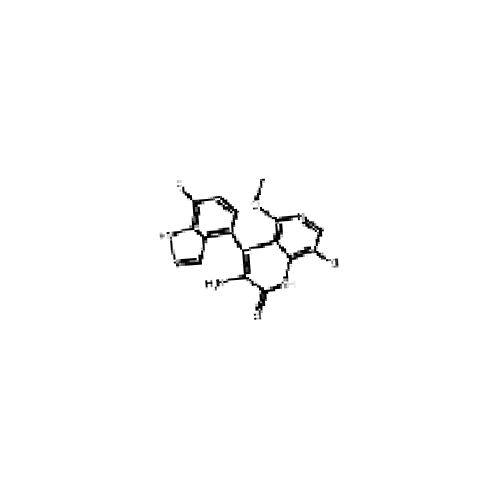 COc1ncc(Cl)c2[nH]c(=O)c(N)c(-c3ccc(F)c4[nH]ncc34)c12